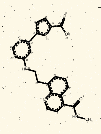 CNC(=O)c1ccnc2c(CCNc3cc(-c4ccc(C(=O)O)s4)ncn3)cccc12